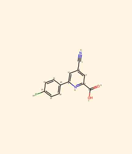 N#Cc1cc(C(=O)O)nc(-c2ccc(F)cc2)c1